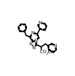 CCOC(=O)C(Cc1cccnc1)c1nnc2c(Cc3ccccc3)nc(-c3cccnc3)cn12